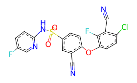 N#Cc1cc(S(=O)(=O)Nc2ccc(F)cn2)ccc1Oc1ccc(Cl)c(C#N)c1F